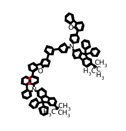 CC(C)(C)c1ccc2c(c1)C(c1ccccc1)(c1ccccc1)c1cc(N(c3ccc(-c4cccc(-c5ccc6oc7c(-c8ccc(N(c9ccc%10c(c9)C(c9ccccc9)(c9ccccc9)c9cc(C(C)(C)C)ccc9-%10)c9ccccc9-c9ccccc9)cc8)cccc7c6c5)c4)cc3)c3ccc(-c4cccc5c4oc4ccccc45)cc3)ccc1-2